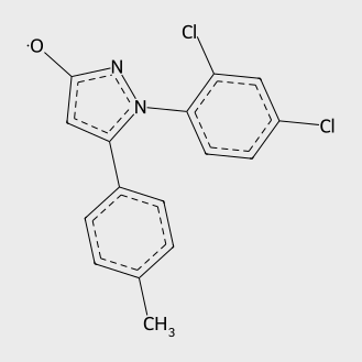 Cc1ccc(-c2cc([O])nn2-c2ccc(Cl)cc2Cl)cc1